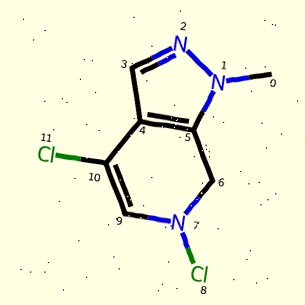 Cn1ncc2c1CN(Cl)C=C2Cl